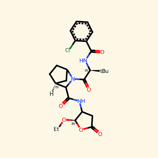 CCO[C@@H]1OC(=O)CC1NC(=O)C1[C@H]2CCC(C2)N1C(=O)[C@@H](NC(=O)c1ccccc1Cl)C(C)(C)C